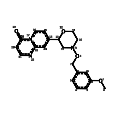 COc1cccc(CON2CCOC(c3ccn4c(=O)ccnc4c3)C2)c1